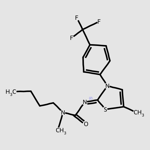 CCCCN(C)C(=O)/N=c1\sc(C)cn1-c1ccc(C(F)(F)F)cc1